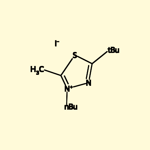 CCCC[n+]1nc(C(C)(C)C)sc1C.[I-]